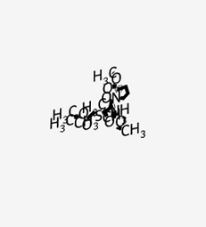 CCOC(=O)N[C@H](C(=O)N1CCC[C@H]1C(=O)OC)C(C)(C)SCC(=O)OC(C)(C)C